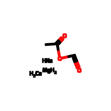 CC(=O)OC=O.[CaH2].[MgH2].[NaH]